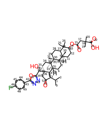 CC(C)C1=C2[C@H]3CC[C@@H]4[C@@]5(C)CC[C@H](OC(=O)CC(C)(C)C(=O)O)C(C)(C)C5CC[C@@]4(C)[C@]3(C)CC[C@@]2([C@@H](O)c2nnc(-c3ccc(F)cc3)o2)CC1=O